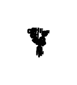 O=C(O)c1ccc(C2(NC(=O)c3cc(-c4cc(F)cc(F)c4)cc4ccn(Cc5ccc(C(F)(F)F)cc5)c34)CC2)cc1